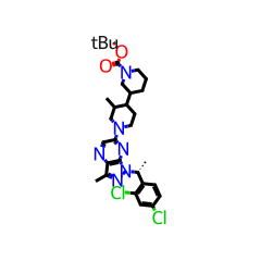 Cc1nn([C@H](C)c2ccc(Cl)cc2Cl)c2nc(N3CCC(C4CCCN(C(=O)OC(C)(C)C)C4)C(C)C3)cnc12